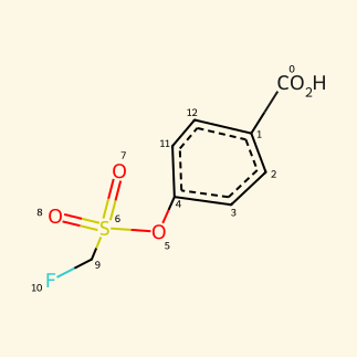 O=C(O)c1ccc(OS(=O)(=O)CF)cc1